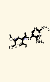 CO/C(=C/C(=C(\C)Oc1cnc(N)nc1N)C(C)C)CCl